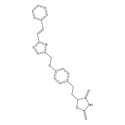 O=C1NC(=O)C(CCc2ccc(OCc3coc(C=Cc4ccccc4)n3)cc2)O1